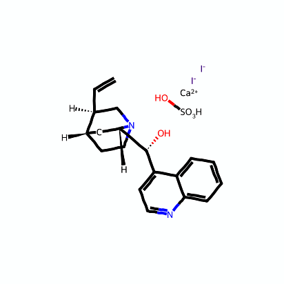 C=C[C@H]1CN2CC[C@H]1C[C@H]2[C@H](O)c1ccnc2ccccc12.O=S(=O)(O)O.[Ca+2].[I-].[I-]